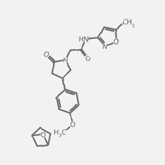 C1CC2CC1O2.COc1ccc(C2CC(=O)N(CC(=O)Nc3cc(C)on3)C2)cc1